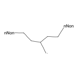 [CH2]C(CCCCCCCCCCC)CCCCCCCCCCC